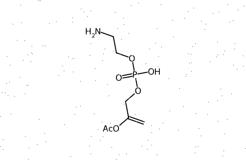 C=C(COP(=O)(O)OCCN)OC(C)=O